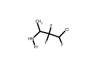 CCNC(C)C(F)(F)C(F)Cl